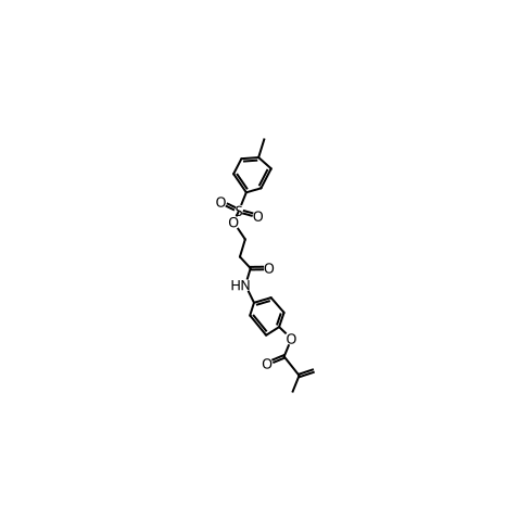 C=C(C)C(=O)Oc1ccc(NC(=O)CCOS(=O)(=O)c2ccc(C)cc2)cc1